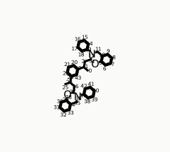 CC(CC1Oc2ccccc2CN1c1ccccc1)c1cccc(C(C)CC2Oc3ccccc3CN2c2ccccc2)c1